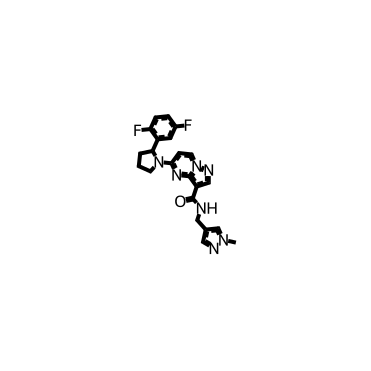 Cn1cc(CNC(=O)c2cnn3ccc(N4CCCC4c4cc(F)ccc4F)nc23)cn1